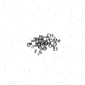 CCC(=O)OCC(=O)[C@@]1(COC)C(C)C[C@H]2[C@@H]3CCC4=CC(=O)C=C[C@]4(C)[C@@]3(F)C(OC(=O)C(F)(F)F)C[C@@]21C